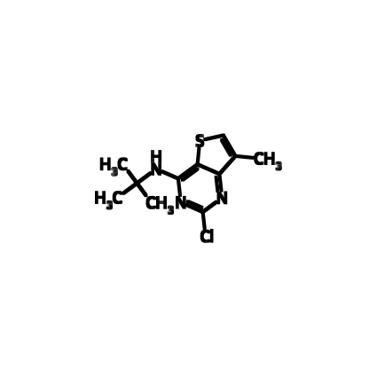 Cc1csc2c(NC(C)(C)C)nc(Cl)nc12